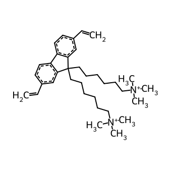 C=Cc1ccc2c(c1)C(CCCCCC[N+](C)(C)C)(CCCCCC[N+](C)(C)C)c1cc(C=C)ccc1-2